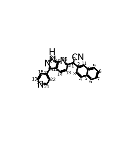 N#CC(c1ccc2ccccc2c1)c1ccc2c(-c3ccncc3)n[nH]c2n1